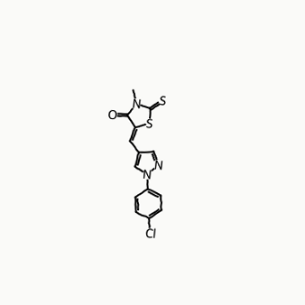 CN1C(=O)/C(=C/c2cnn(-c3ccc(Cl)cc3)c2)SC1=S